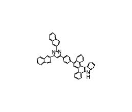 c1ccc2cc(-c3cc(-c4ccc(-c5cc6c7ccccc7c7[nH]c8ccccc8c7c6c6ccccc56)cc4)nc(-c4ccc5ccccc5c4)n3)ccc2c1